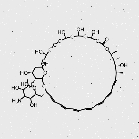 CC1OC(C[C@H]2/C=C/C=C/C=C/C=C/C=C/C=C/C=C/[C@H](C)[C@@H](O)[C@@H](C)[C@H](C)OC(=O)C[C@H](O)CC(O)C[C@H](O)CCC[C@H](O)C[C@]3(O)C[C@H](O)[C@@H](C(=O)O)C(C2)O3)C(O)C(N)C1O